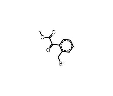 COC(=O)C(=O)c1ccccc1CBr